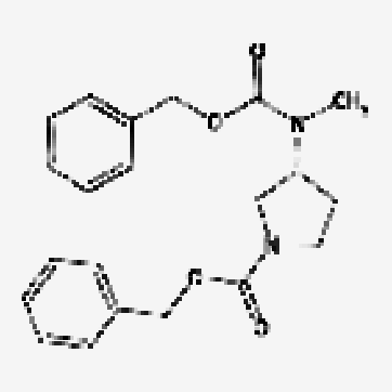 CN(C(=O)OCc1ccccc1)[C@@H]1CCN(C(=O)OCc2ccccc2)C1